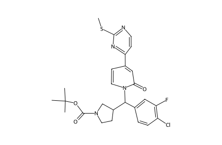 CSc1nccc(-c2ccn(C(c3ccc(Cl)c(F)c3)C3CCN(C(=O)OC(C)(C)C)C3)c(=O)c2)n1